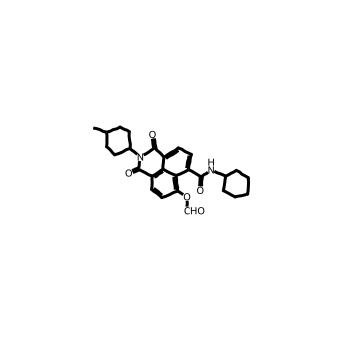 CC1CCC(N2C(=O)c3ccc(OC=O)c4c(C(=O)NC5CCCCC5)ccc(c34)C2=O)CC1